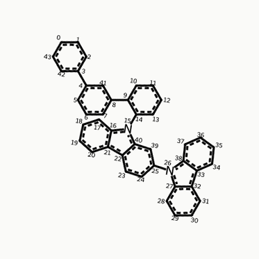 c1ccc(-c2cccc(-c3ccccc3-n3c4ccccc4c4ccc(-n5c6ccccc6c6ccccc65)cc43)c2)cc1